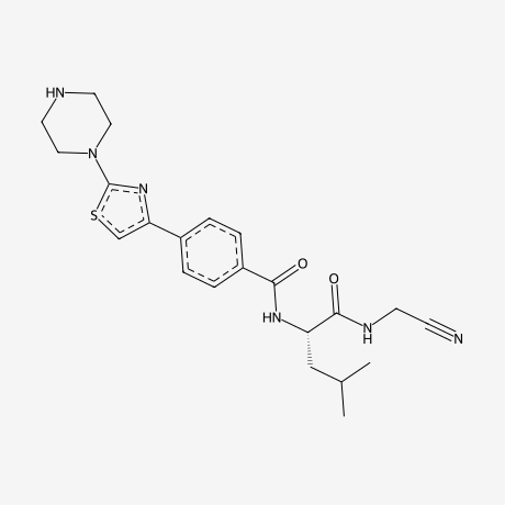 CC(C)C[C@H](NC(=O)c1ccc(-c2csc(N3CCNCC3)n2)cc1)C(=O)NCC#N